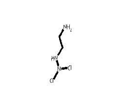 NCC[NH][Ni]([Cl])[Cl]